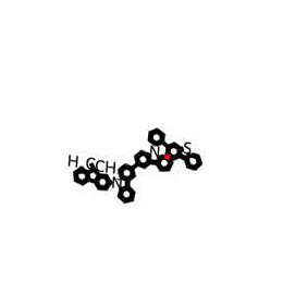 CC1(C)c2ccccc2-c2ccc(-n3c4ccccc4c4cc(-c5ccc6c(c5)c5ccccc5n6-c5ccccc5-c5ccc6c(c5)sc5ccccc56)ccc43)cc21